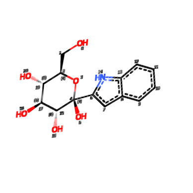 OC[C@H]1O[C@](O)(c2cc3ccccc3[nH]2)[C@H](O)[C@@H](O)[C@@H]1O